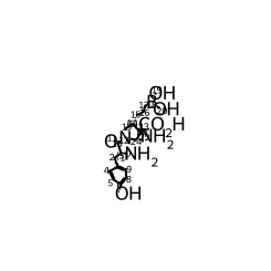 N[C@@H](Cc1ccc(O)cc1)C(=O)N1C[C@H](CCCB(O)O)[C@](N)(C(=O)O)C1